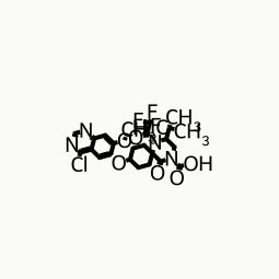 COc1cc2ncnc(Cl)c2cc1OC1CCC2(CC1)C(=O)N(C(=O)O)CC(C(C)(C)C)N2C(=O)C(F)(F)F